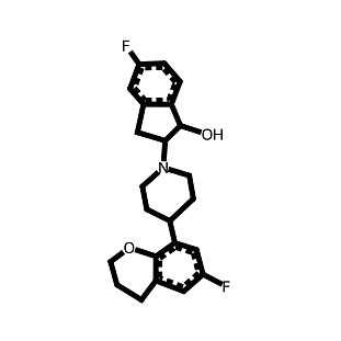 OC1c2ccc(F)cc2CC1N1CCC(c2cc(F)cc3c2OCCC3)CC1